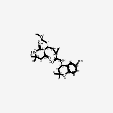 COCC[C@H]([C@@H]1C[C@H]1C(=O)N[C@@H]1CC(C)(C)Oc2ccc(F)cc21)N1C(=N)NC(C)(C)CC1=O